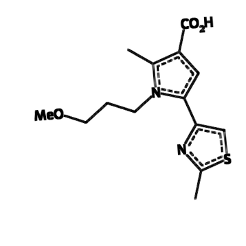 COCCCn1c(-c2csc(C)n2)cc(C(=O)O)c1C